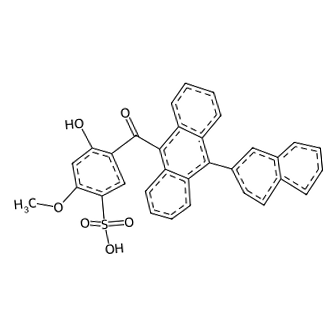 COc1cc(O)c(C(=O)c2c3ccccc3c(-c3ccc4ccccc4c3)c3ccccc23)cc1S(=O)(=O)O